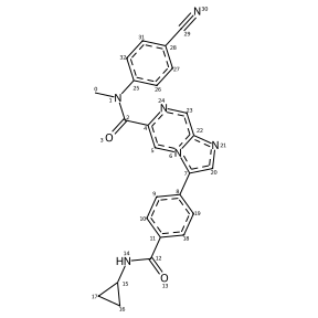 CN(C(=O)c1cn2c(-c3ccc(C(=O)NC4CC4)cc3)cnc2cn1)c1ccc(C#N)cc1